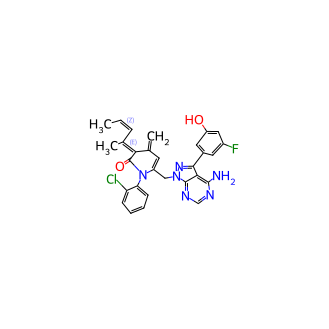 C=c1cc(Cn2nc(-c3cc(O)cc(F)c3)c3c(N)ncnc32)n(-c2ccccc2Cl)c(=O)/c1=C(C)/C=C\C